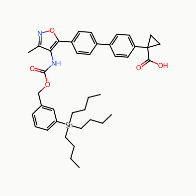 CCC[CH2][Sn]([CH2]CCC)([CH2]CCC)[c]1cccc(COC(=O)Nc2c(C)noc2-c2ccc(-c3ccc(C4(C(=O)O)CC4)cc3)cc2)c1